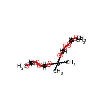 C=CC(=O)OCC1C[C@@H]2C3CC(CC3COC(=O)/C=C/C(=O)OCC3C[C@@H]4C5CC(CC5COC(=O)CCCCCCC5C(CCCCCC)CCC(CCCCCCCC)C5CCCCCCC(=O)OCC5CC6CC5[C@@H]5CC(COC(=O)/C=C/C(=O)OCC7CC8CC7[C@H]7CC(COC(=O)C(=C)C)C[C@@H]87)C[C@H]65)[C@@H]4C3)[C@@H]2C1